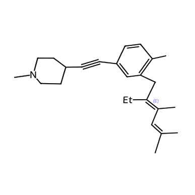 CC/C(Cc1cc(C#CC2CCN(C)CC2)ccc1C)=C(/C)C=C(C)C